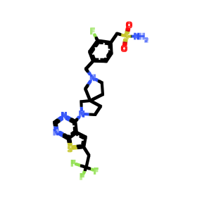 NS(=O)(=O)Cc1ccc(CN2CCC3(CCN(c4ncnc5sc(CC(F)(F)F)cc45)C3)C2)cc1F